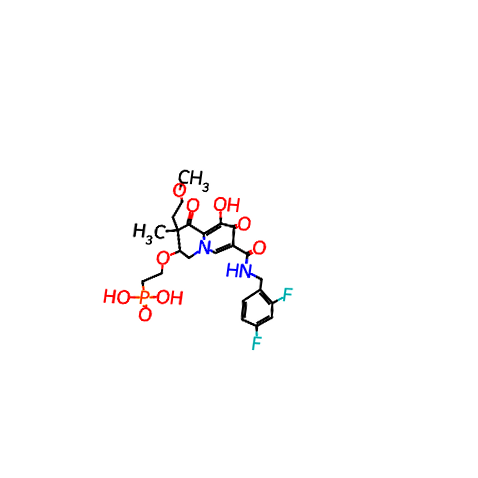 COCCC1(C)C(=O)c2c(O)c(=O)c(C(=O)NCc3ccc(F)cc3F)cn2CC1OCCP(=O)(O)O